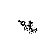 C=Cc1ccc(C(=O)[C@@H]2OC(C)(C)O[C@H]2[C@H](O)[C@@H]2OC(C)(C)OC2=O)cc1